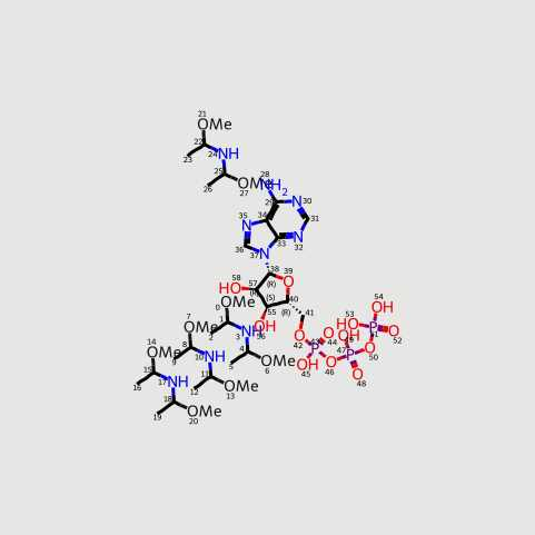 COC(C)NC(C)OC.COC(C)NC(C)OC.COC(C)NC(C)OC.COC(C)NC(C)OC.Nc1ncnc2c1ncn2[C@@H]1O[C@H](COP(=O)(O)OP(=O)(O)OP(=O)(O)O)[C@@H](O)[C@H]1O